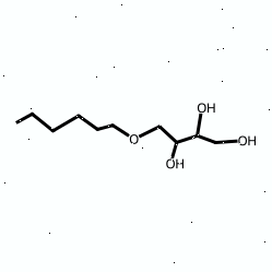 CCCCCCOCC(O)C(O)CO